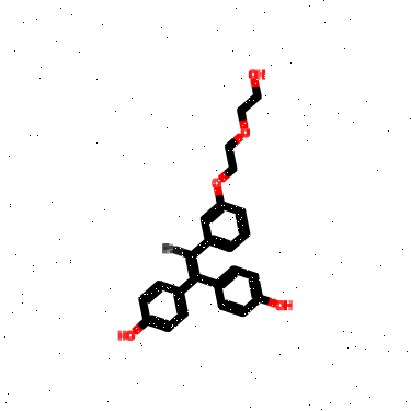 CCC(=C(c1ccc(O)cc1)c1ccc(O)cc1)c1cccc(OCCOCCO)c1